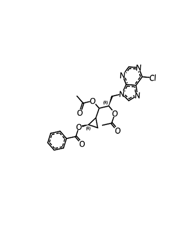 CC(=O)OC(C1C[C@H]1OC(=O)c1ccccc1)[C@@H](Cn1cnc2c(Cl)ncnc21)OC(C)=O